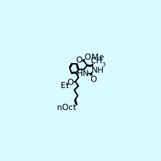 CCCCCCCCC=CCCCC(Cc1ccccc1C1NC(=O)NC(C)=C1C(=O)OC)OCC